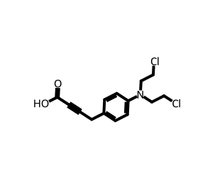 O=C(O)C#CCc1ccc(N(CCCl)CCCl)cc1